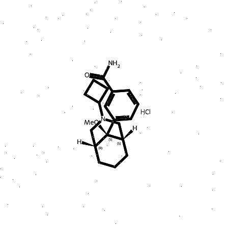 CO[C@]1(c2cccc(C(N)=O)c2)[C@@H]2CCC[C@H]1CN(C1CCC1)C2.Cl